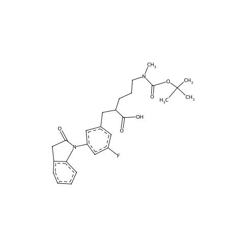 CN(CCCC(Cc1cc(F)cc(N2C(=O)Cc3ccccc32)c1)C(=O)O)C(=O)OC(C)(C)C